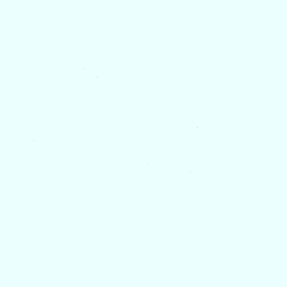 COc1ccc(-n2cnnn2)cc1C(=O)N1CCC(CCN2CCC(NC(=O)N3CCCC(C(=O)O)C3)(c3cccnc3)CC2)(c2ccc(Cl)c(Cl)c2)C1